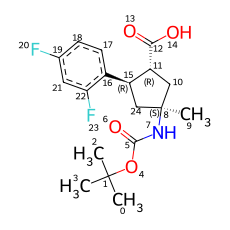 CC(C)(C)OC(=O)N[C@]1(C)C[C@@H](C(=O)O)[C@H](c2ccc(F)cc2F)C1